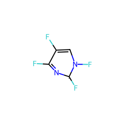 F[C]1N=C(F)C(F)=CN1F